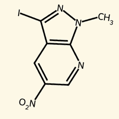 Cn1nc(I)c2cc([N+](=O)[O-])cnc21